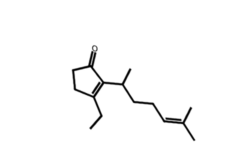 CCC1=C(C(C)CCC=C(C)C)C(=O)CC1